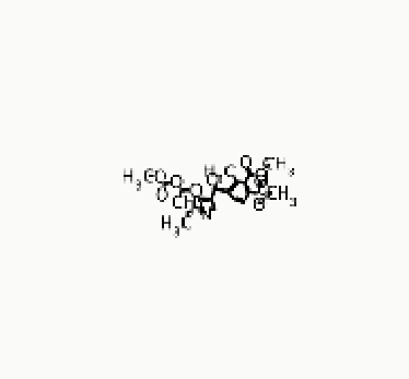 CCn1ncc(C(=O)c2ccc(S(C)(=O)=O)c(C(=O)OC)c2C)c1OC(C)OC(=O)OC